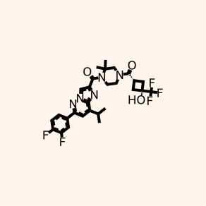 CC(C)c1cc(-c2ccc(F)c(F)c2)nn2cc(C(=O)N3CCN(C(=O)[C@H]4C[C@](O)(C(F)(F)F)C4)CC3(C)C)nc12